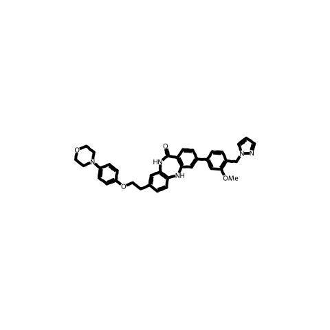 COc1cc(-c2ccc3c(c2)Nc2ccc(CCOc4ccc(N5CCOCC5)cc4)cc2NC3=O)ccc1Cn1cccn1